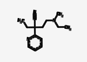 CCN(C)CCC(C#N)(CC)c1ccccn1